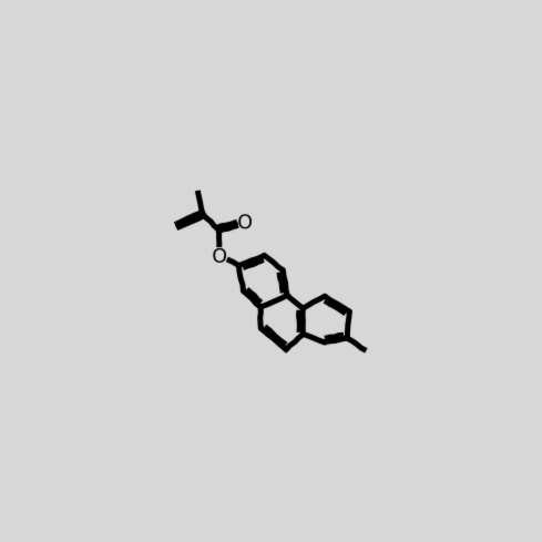 C=C(C)C(=O)Oc1ccc2c(ccc3cc(C)ccc32)c1